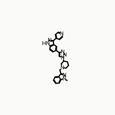 Cn1nc(CN2CCCC(n3cc(-c4ccc5[nH]nc(-c6ccncc6)c5c4)nn3)C2)c2ccccc21